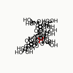 Cc1c(NC(=O)C(O)C(O)CO)c(I)c(C(=O)N(C)CCN(CCN(C)C(=O)c2c(I)c(NC(=O)C(O)C(O)CO)c(I)c(C(=O)NCC(O)CO)c2I)C(=O)c2c(I)c(NC(=O)C(O)C(O)CO)c(I)c(C(=O)NCC(O)CO)c2I)c(I)c1C(=O)NCC(O)CO